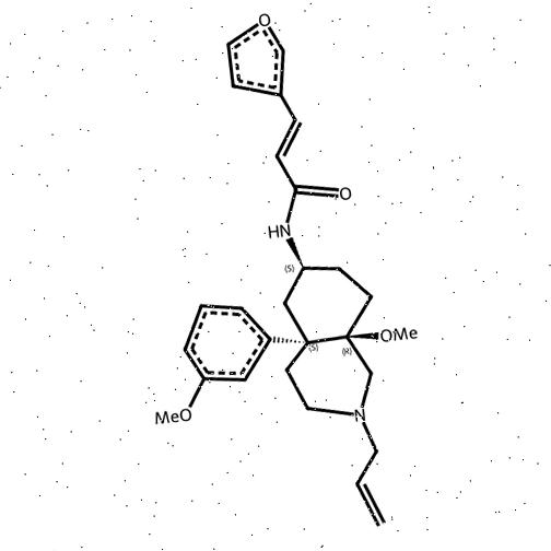 C=CCN1CC[C@@]2(c3cccc(OC)c3)C[C@@H](NC(=O)C=Cc3ccoc3)CC[C@]2(OC)C1